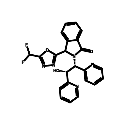 O=C1c2ccccc2C(c2nnc(C(F)F)o2)N1[C@H](c1ccccn1)[C@@H](O)c1ccccn1